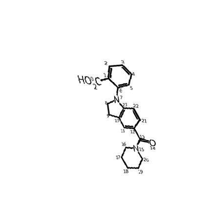 O=C(O)c1ccccc1N1CCc2cc(C(=O)N3CCCCC3)ccc21